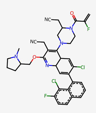 C=C(F)C(=O)N1CCN(C2=C(CC#N)C(OCC3CCCN3C)=NC3C=C(c4cccc5ccc(F)c(Cl)c45)C(Cl)=CC23)CC1CC#N